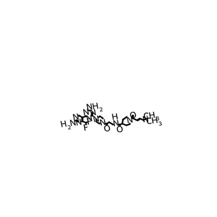 CN(C)C/C=C/C(=O)N1CCC(C(=O)NCCC(=O)N2CCN(c3nc(N)nc(-c4cnc(N)nc4C(F)F)n3)CC2)CC1